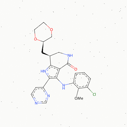 COc1c(Cl)cccc1Nc1c(-c2ccncn2)[nH]c2c1C(=O)NC[C@@H]2C[C@@H]1COCCO1